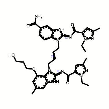 CCn1nc(C)cc1C(=O)/N=c1\[nH]c2cc(C(N)=O)ccc2n1C/C=C/Cn1/c(=N/C(=O)c2cc(C)nn2CC)[nH]c2cc(C)cc(OCCCO)c21